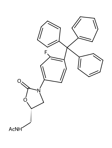 CC(=O)NC[C@H]1CN(c2ccc(C(c3ccccc3)(c3ccccc3)c3ccccc3)c(F)c2)C(=O)O1